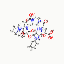 C[C@@H](Oc1cc(C(=O)N[C@@H](CCC(=O)O)C(=O)N2CCN(C(=O)O)CC2)nn1-c1ccccc1)C(=O)N1CCC[C@H]1C(=O)N1CCCC1